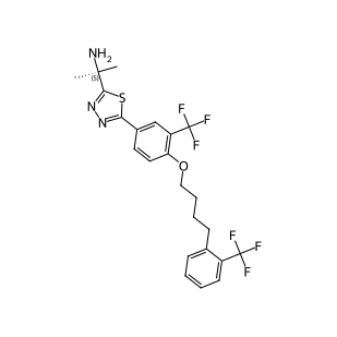 [CH2][C@@](C)(N)c1nnc(-c2ccc(OCCCCc3ccccc3C(F)(F)F)c(C(F)(F)F)c2)s1